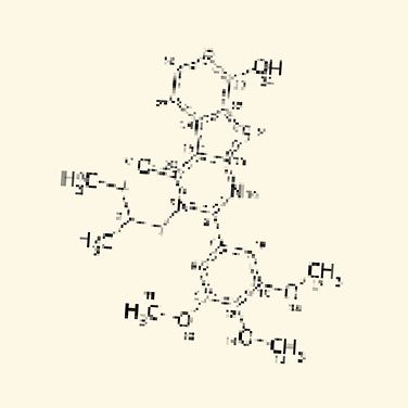 CCC(C)Cn1c(-c2cc(OC)c(OC)c(OC)c2)nc2sc3c(O)cccc3c2c1=O